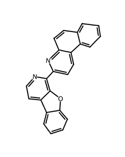 c1ccc2c(c1)ccc1nc(-c3nccc4c3oc3ccccc34)ccc12